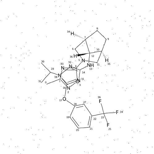 Cc1noc(N2C[C@H]3CC[C@@H](C2)[C@@H]3Nc2nc(Oc3cccc(C(F)(F)F)c3)n(C(C)C)n2)n1